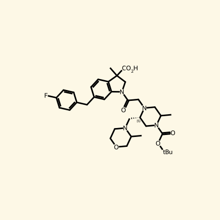 CC1COCCN1C[C@H]1CN(C(=O)OC(C)(C)C)C(C)CN1CC(=O)N1CC(C)(C(=O)O)c2ccc(Cc3ccc(F)cc3)cc21